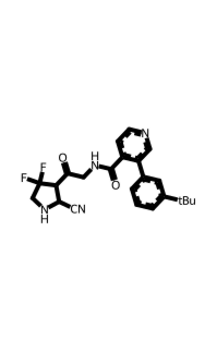 CC(C)(C)c1cccc(-c2cnccc2C(=O)NCC(=O)C2C(C#N)NCC2(F)F)c1